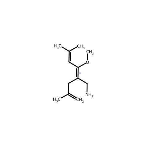 C=C(C)C/C(CN)=C(\C=C(C)C)OC